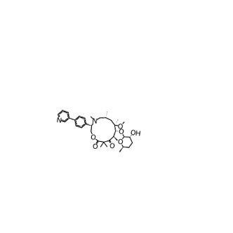 CO[C@]1(C)C[C@@H](C)CN(C)[C@H](c2ccc(-c3cccnc3)cc2)COC(=O)C(C)(C)C(=O)[C@H](C)[C@H]1O[C@@H]1O[C@H](C)CC[C@H]1O